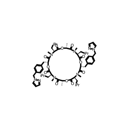 CC(C)C[C@H]1C(=O)O[C@H](Cc2ccc(Cn3cccn3)cc2)C(=O)N(C)[C@@H](CC(C)C)C(=O)O[C@H](C)C(=O)N(C)[C@@H](CC(C)C)C(=O)O[C@H](Cc2ccc(Cn3cccn3)cc2)C(=O)N(C)[C@@H](CC(C)C)C(=O)O[C@H](C)C(=O)N1C